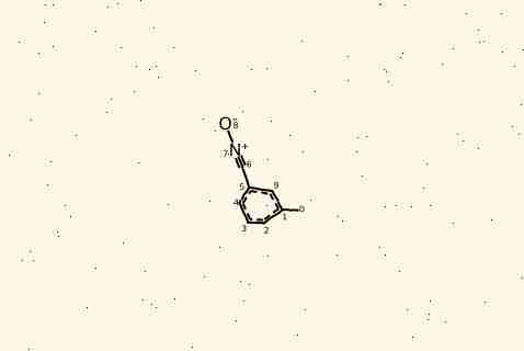 Cc1cccc(C#[N+][O-])c1